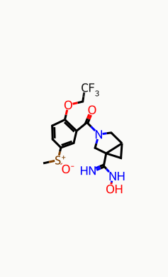 C[S+]([O-])c1ccc(OCC(F)(F)F)c(C(=O)N2CC3CC3(C(=N)NO)C2)c1